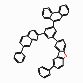 c1ccc(-c2ccc3ccc(-c4cc(-c5ccc6oc7ccc(-c8ccccc8)cc7c6c5)cc(-c5cc6ccccc6c6ccccc56)c4)cc3c2)cc1